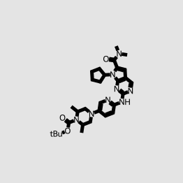 CC1CN(c2ccc(Nc3ncc4cc(C(=O)N(C)C)n(C5CCCC5)c4n3)nc2)CC(C)N1C(=O)OC(C)(C)C